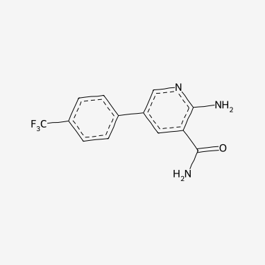 NC(=O)c1cc(-c2ccc(C(F)(F)F)cc2)cnc1N